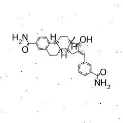 C[C@]12CC[C@@H]3c4ccc(C(N)=O)cc4CC[C@H]3[C@@H]1C/C(=C\c1cccc(C(N)=O)c1)[C@@H]2O